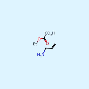 C=CCN.CCOC(=O)C(=O)O